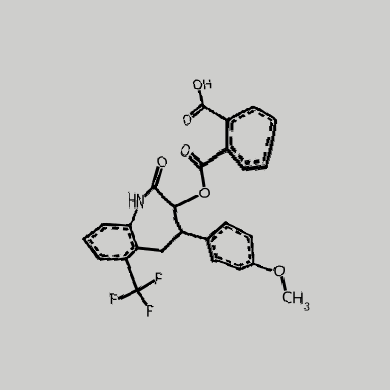 COc1ccc(C2Cc3c(cccc3C(F)(F)F)NC(=O)C2OC(=O)c2ccccc2C(=O)O)cc1